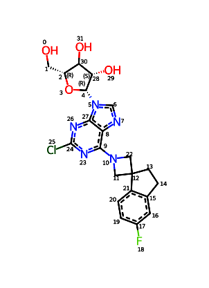 OC[C@H]1O[C@@H](n2cnc3c(N4CC5(CCc6cc(F)ccc65)C4)nc(Cl)nc32)[C@@H](O)C1O